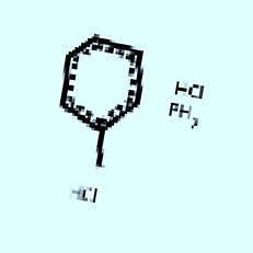 Cc1ccccc1.Cl.Cl.P